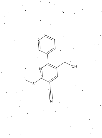 CSc1nc(-c2ccccc2)c(CO)cc1C#N